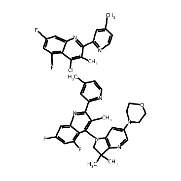 Cc1ccnc(-c2nc3cc(F)cc(F)c3c(Cl)c2C)c1.Cc1ccnc(-c2nc3cc(F)cc(F)c3c(N3CC(C)(C)c4ncc(N5CCOCC5)cc43)c2C)c1